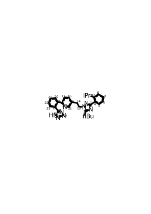 CCCCc1nc(-c2ccccc2C(C)C)nn1CCc1ccc(-c2ccccc2-c2nnn[nH]2)nc1